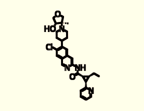 CC[C@@H]1[C@H](C(=O)Nc2cc3cc(C4CCN([C@]5(C)COC[C@@H]5O)CC4)c(Cl)cc3cn2)[C@@H]1c1ccccn1